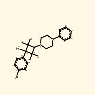 CC1(C)C(N2CCN(c3ccccc3)CC2)C(C)(C)C1(O)c1ccc(Br)cc1